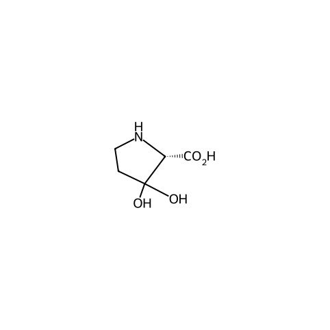 O=C(O)[C@H]1NCCC1(O)O